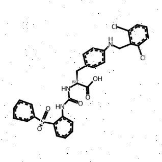 O=C(Nc1ccccc1S(=O)(=O)c1ccccc1)N[C@@H](Cc1ccc(NCc2c(Cl)cccc2Cl)cc1)C(=O)O